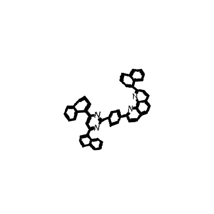 c1ccc2c(-c3cc(-c4cccc5ccccc45)nc(-c4ccc(-c5ccc6ccc7ccc(-c8cccc9ccccc89)nc7c6n5)cc4)n3)cccc2c1